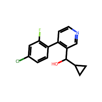 OC(c1cnccc1-c1ccc(Cl)cc1F)C1CC1